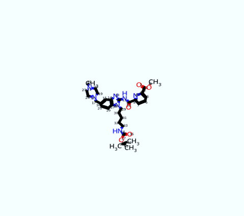 COC(=O)c1cccc(C(=O)Nc2nc3cc(CN4CCN(C)CC4)ccc3n2CCCCCNC(=O)OC(C)(C)C)n1